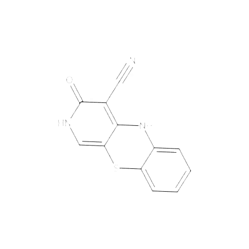 N#Cc1c2c(c[nH]c1=O)Sc1ccccc1N2